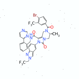 C[C@H]1Cn2c(c(C(=O)NCc3ccccc3-c3ccncn3)n(-c3ccc4nn(CC(F)(F)F)cc4c3)c2=O)CN1C(=O)c1ccc(Br)c(C(F)(F)F)c1